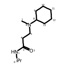 CC(C)NC(=O)CCN(C)C1CCCCC1